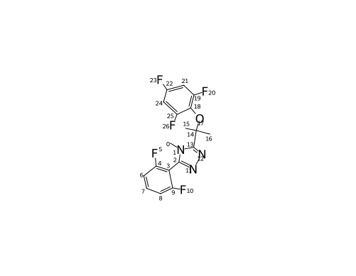 Cn1c(-c2c(F)cccc2F)nnc1C(C)(C)Oc1c(F)cc(F)cc1F